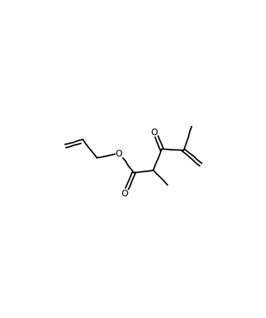 C=CCOC(=O)C(C)C(=O)C(=C)C